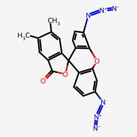 Cc1cc2c(cc1C)C1(OC2=O)c2ccc(N=[N+]=[N-])cc2Oc2cc(N=[N+]=[N-])ccc21